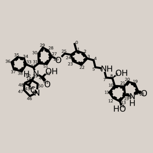 Cc1cc(CCNC[C@@H](O)c2ccc(O)c3[nH]c(=O)ccc23)ccc1COc1cccc(C(c2ccccc2)N(C(=O)O)[C@H]2CN3CCC2CC3)c1